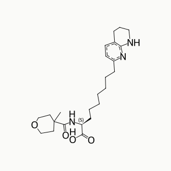 CC1(C(=O)N[C@@H](CCCCCCCc2ccc3c(n2)NCCC3)C(=O)O)CCOCC1